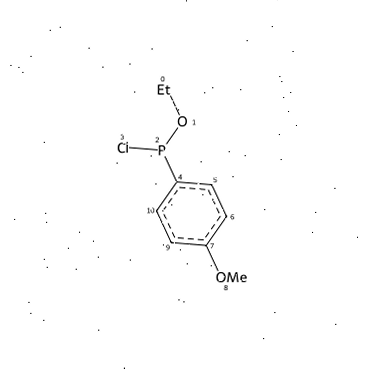 CCOP(Cl)c1ccc(OC)cc1